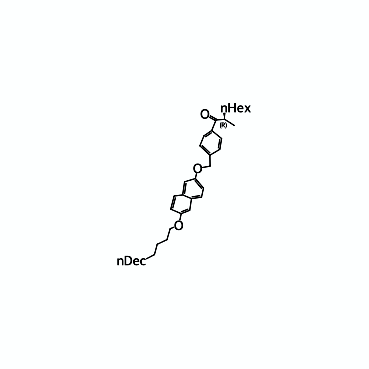 CCCCCCCCCCCCCCOc1ccc2cc(OCc3ccc(C(=O)[C@H](C)CCCCCC)cc3)ccc2c1